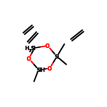 C=C.C=C.C=C.C[SiH]1O[SiH2]O[Si](C)(C)O1